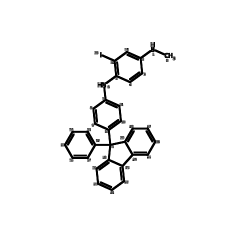 CBc1ccc(Nc2ccc(C3(c4ccccc4)c4ccccc4-c4ccccc43)cc2)c(I)c1